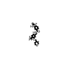 Cn1c(=O)[nH]c2cc(C(=O)NCc3ccc(C(F)(F)F)c(OCC4CCOCC4)c3)ccc21